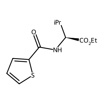 CCOC(=O)[C@@H](NC(=O)c1cccs1)C(C)C